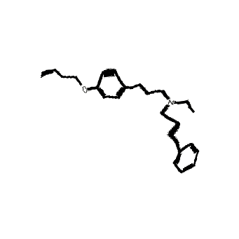 C=CCCOc1ccc(CCCN(CC)CCCc2ccccc2)cc1